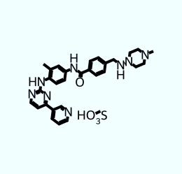 CS(=O)(=O)O.Cc1cc(NC(=O)c2ccc(CNN3CCN(C)CC3)cc2)ccc1Nc1nccc(-c2cccnc2)n1